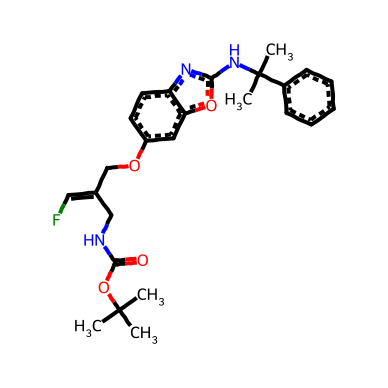 CC(C)(C)OC(=O)NC/C(=C\F)COc1ccc2nc(NC(C)(C)c3ccccc3)oc2c1